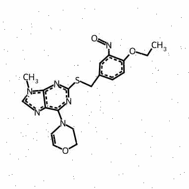 CCOc1ccc(CSc2nc(N3C=COCC3)c3ncn(C)c3n2)cc1N=O